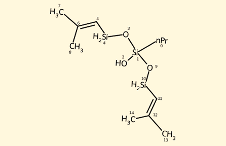 CCC[Si](O)(O[SiH2]C=C(C)C)O[SiH2]C=C(C)C